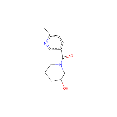 Cc1ccc(C(=O)N2CCCC(O)C2)cn1